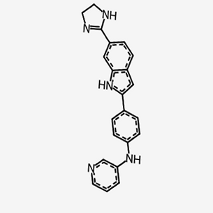 c1cncc(Nc2ccc(-c3cc4ccc(C5=NCCN5)cc4[nH]3)cc2)c1